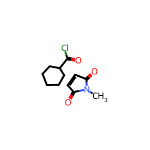 CN1C(=O)C=CC1=O.O=C(Cl)C1CCCCC1